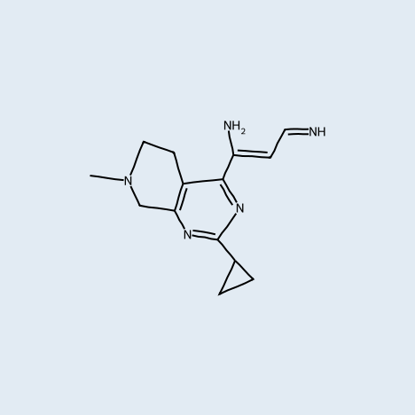 CN1CCc2c(nc(C3CC3)nc2/C(N)=C/C=N)C1